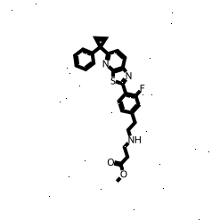 COC(=O)CCNCCc1ccc(-c2nc3ccc(C4(c5ccccc5)C=C4)nc3s2)c(F)c1